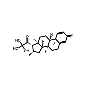 C[C@@H]1C[C@H]2[C@@H]3CCC4=CC(=O)C=C[C@]4(C)[C@H]3CC[C@]2(C)[C@H]1C(=O)C(O)(O)O